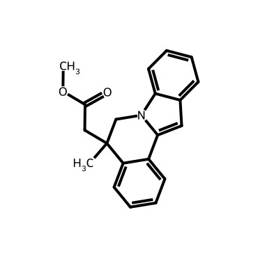 COC(=O)CC1(C)Cn2c(cc3ccccc32)-c2ccccc21